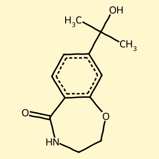 CC(C)(O)c1ccc2c(c1)OCCNC2=O